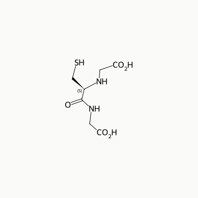 O=C(O)CNC(=O)[C@@H](CS)NCC(=O)O